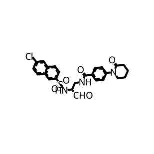 O=CC(CNC(=O)c1ccc(N2CCCCC2=O)cc1)NS(=O)(=O)c1ccc2cc(Cl)ccc2c1